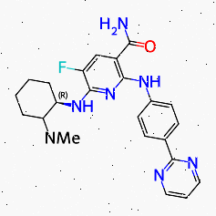 CNC1CCCC[C@H]1Nc1nc(Nc2ccc(-c3ncccn3)cc2)c(C(N)=O)cc1F